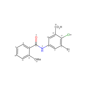 CCc1cc(NC(=O)c2ccccc2OC)cc(C(=O)O)c1Cl